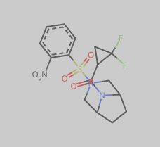 O=C(C1CC1(F)F)N1C2CCC1CN(S(=O)(=O)c1ccccc1[N+](=O)[O-])C2